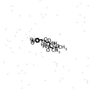 COC(=S)N[C@H](C)[C@H]1C(=O)N[C@@H]1[C@@H](C)C(=O)C(=N)C(=O)OCc1ccc([N+](=O)[O-])cc1